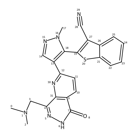 CN(C)Cc1n[nH]c(=O)c2ccc(-c3cnn(C)c3-c3sc4ccccc4c3C#N)nc12